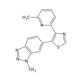 Cc1cccc(-c2ncsc2-c2ccc3nnn(C)c3c2)n1